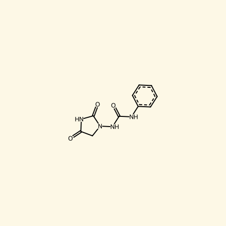 O=C1CN(NC(=O)Nc2ccccc2)C(=O)N1